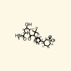 CNC(=O)C1CC(O)CN1C(=O)C(n1cc(C2CCCS(=O)(=O)C2)nn1)C(C)(C)C